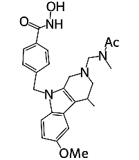 COc1ccc2c(c1)c1c(n2Cc2ccc(C(=O)NO)cc2)CN(CN(C)C(C)=O)CC1C